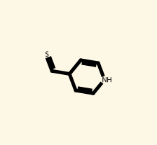 S=CC1C=CNC=C1